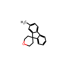 Cc1ccc2c(c1)C1(CCOCC1)c1ccccc1-2